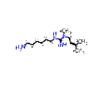 CC(C)=CCN(C)C(=N)NCCCCCCN